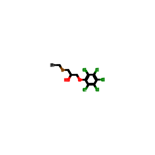 CC(C)CSCC(O)COc1c(Cl)c(Cl)c(Cl)c(Cl)c1Cl